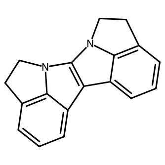 c1cc2c3c(c1)c1c4cccc5c4n(c1n3CC2)CC5